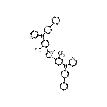 Cn1c(-c2ccc(N(c3ccc(-c4ccccc4)cc3)c3cccnc3)cc2C(F)(F)F)ccc1-c1ccc(N(c2ccc(-c3ccccc3)cc2)c2cccnc2)cc1C(F)(F)F